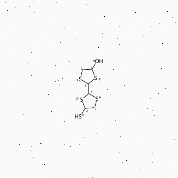 OC1CSC(C2SCC(S)S2)S1